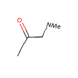 CNCC(C)=O